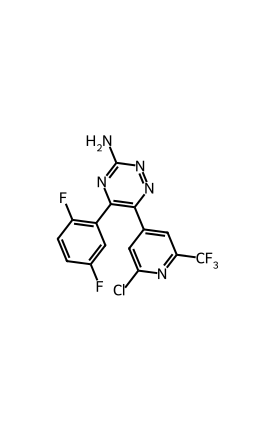 Nc1nnc(-c2cc(Cl)nc(C(F)(F)F)c2)c(-c2cc(F)ccc2F)n1